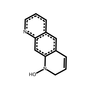 ON1CC=Cc2cc3cccnc3cc21